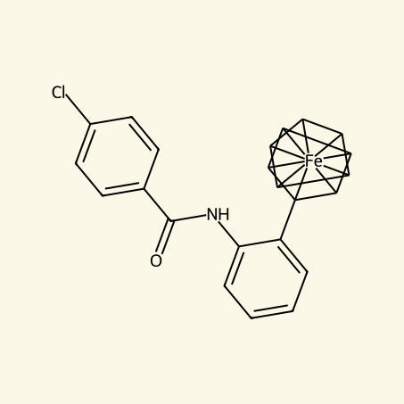 O=C(Nc1ccccc1[C]12[CH]3[CH]4[CH]5[CH]1[Fe]45321678[CH]2[CH]1[CH]6[CH]7[CH]28)c1ccc(Cl)cc1